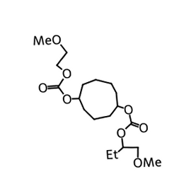 CCC(COC)OC(=O)OC1CCCCC(OC(=O)OCCOC)CCC1